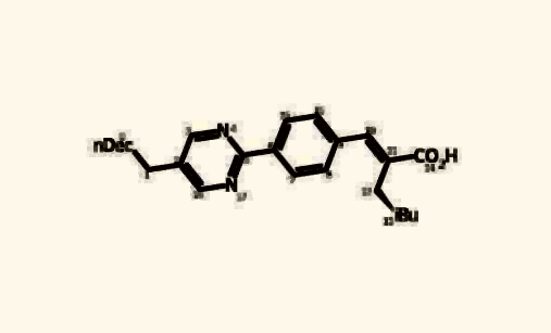 CCCCCCCCCCCc1cnc(-c2ccc(C=C(C[C@H](C)CC)C(=O)O)cc2)nc1